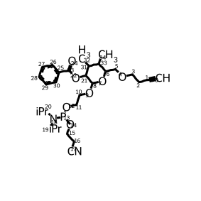 C#CCCOCC1OC(OCCOP(OCCC#N)N(C(C)C)C(C)C)C(OC(=O)c2ccccc2)C(C)C1C